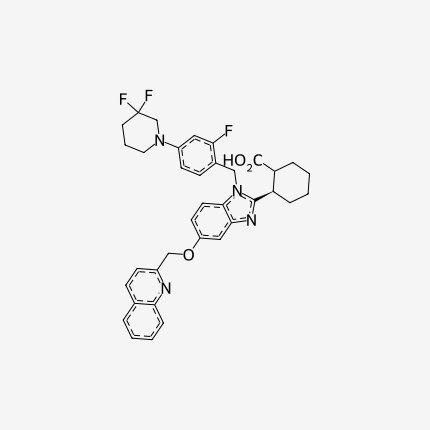 O=C(O)C1CCCC[C@H]1c1nc2cc(OCc3ccc4ccccc4n3)ccc2n1Cc1ccc(N2CCCC(F)(F)C2)cc1F